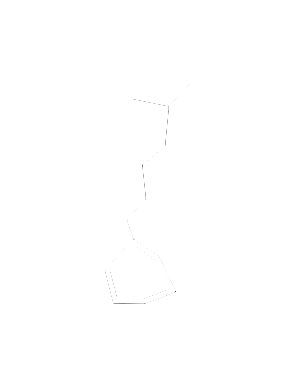 CC(C)CC[CH]Cc1ccccc1